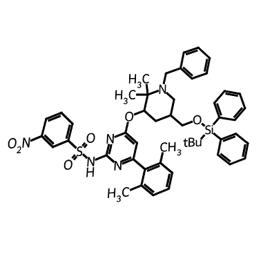 Cc1cccc(C)c1-c1cc(OC2CC(CO[Si](c3ccccc3)(c3ccccc3)C(C)(C)C)CN(Cc3ccccc3)C2(C)C)nc(NS(=O)(=O)c2cccc([N+](=O)[O-])c2)n1